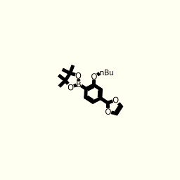 CCCCOc1cc(C2OC=CO2)ccc1B1OC(C)(C)C(C)(C)O1